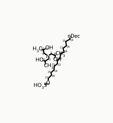 CC(O)CN(CC(C)O)CC(C)O.CCCCCCCCCCCCCCCCCCCCCCCCOS(=O)(=O)O